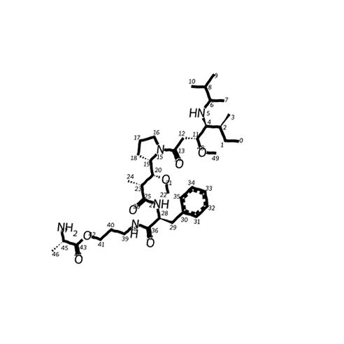 CC[C@H](C)[C@H](NC(C)C(C)C)[C@@H](CC(=O)N1CCC[C@H]1[C@H](OC)[C@@H](C)C(=O)N[C@@H](Cc1ccccc1)C(=O)NCCCOC(=O)[C@H](C)N)OC